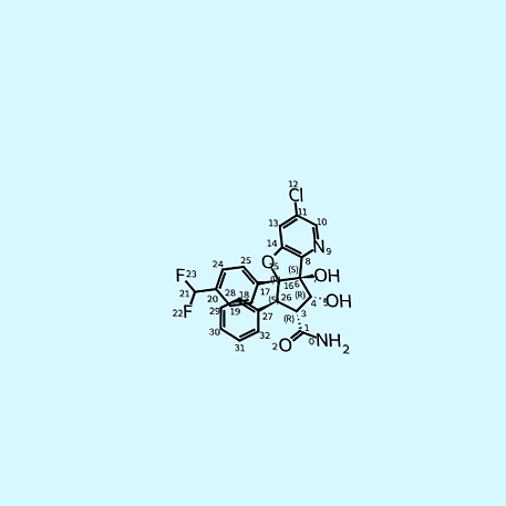 NC(=O)[C@H]1[C@@H](O)[C@@]2(O)c3ncc(Cl)cc3O[C@@]2(c2ccc(C(F)F)cc2)[C@@H]1c1ccccc1